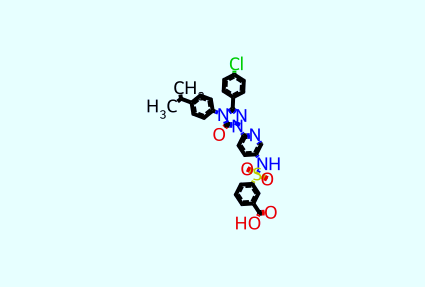 CC(C)c1ccc(-n2c(-c3ccc(Cl)cc3)nn(-c3ccc(NS(=O)(=O)c4cccc(C(=O)O)c4)cn3)c2=O)cc1